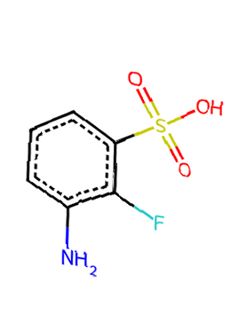 Nc1cccc(S(=O)(=O)O)c1F